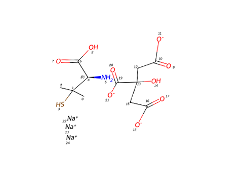 CC(C)(S)[C@H](N)C(=O)O.O=C([O-])CC(O)(CC(=O)[O-])C(=O)[O-].[Na+].[Na+].[Na+]